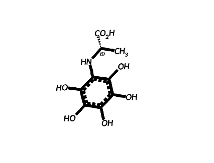 C[C@H](Nc1c(O)c(O)c(O)c(O)c1O)C(=O)O